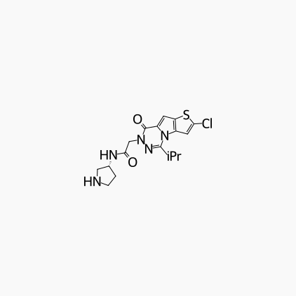 CC(C)c1nn(CC(=O)N[C@@H]2CCNC2)c(=O)c2cc3sc(Cl)cc3n12